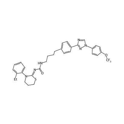 CCc1ccccc1N1CCCS/C1=N\C(=O)NCCCCc1ccc(-c2ncn(-c3ccc(OC(F)(F)F)cc3)n2)cc1